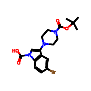 CC(C)(C)OC(=O)N1CCN(c2cn(C(=O)O)c3ccc(Br)cc23)CC1